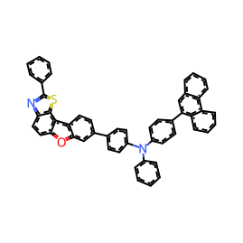 c1ccc(-c2nc3ccc4oc5cc(-c6ccc(N(c7ccccc7)c7ccc(-c8cc9ccccc9c9ccccc89)cc7)cc6)ccc5c4c3s2)cc1